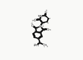 CC(C)C(C)c1ccc2c(c1)C(=O)N(C1CCC(=O)NC1=O)C2=O